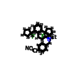 CC#N.CCN(Cc1ccccc1)C(C)CCc1c(C2(F)CCCC2)cccc1C1(F)CCCC1